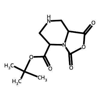 CC(C)(C)OC(=O)C1CNCC2C(=O)OC(=O)N21